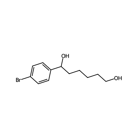 OCCCCCC(O)c1ccc(Br)cc1